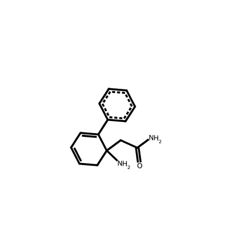 NC(=O)CC1(N)CC=CC=C1c1ccccc1